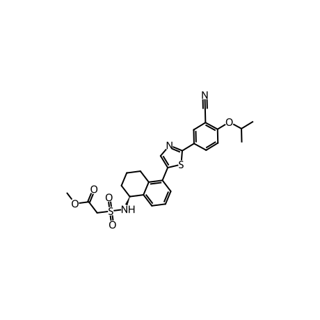 COC(=O)CS(=O)(=O)N[C@H]1CCCc2c(-c3cnc(-c4ccc(OC(C)C)c(C#N)c4)s3)cccc21